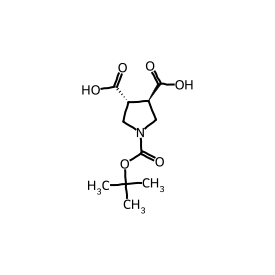 CC(C)(C)OC(=O)N1C[C@H](C(=O)O)[C@@H](C(=O)O)C1